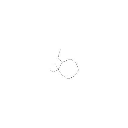 CCC1CCCCCCC1(N)CC